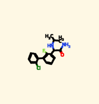 CC(C)NC(C(N)=O)c1cccc(-c2ccccc2Cl)c1F